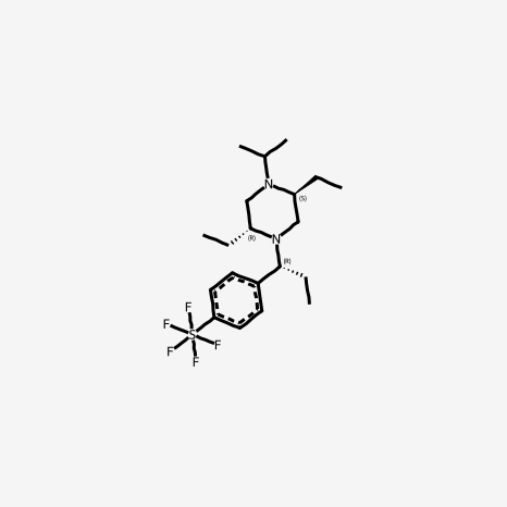 CC[C@H]1CN([C@H](CC)c2ccc(S(F)(F)(F)(F)F)cc2)[C@H](CC)CN1C(C)C